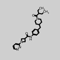 CCC(CC)C(=O)N1CCC(Cc2ccc(NC(=O)C3CN(c4cccnn4)C3)cc2)CC1